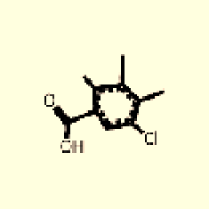 Cc1c(Cl)cc(C(=O)O)c(C)c1C